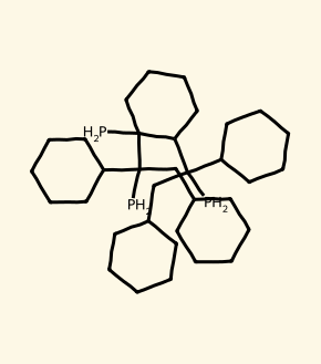 PC(CC1CCCCC1)(C1CCCCC1)C1CCCCC1(P)C(P)(CC1CCCCC1)C1CCCCC1